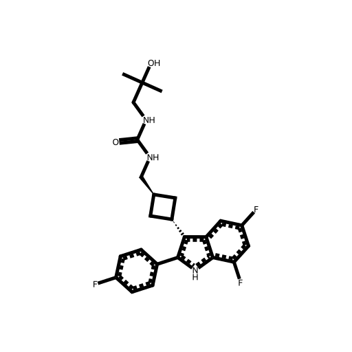 CC(C)(O)CNC(=O)NC[C@H]1C[C@H](c2c(-c3ccc(F)cc3)[nH]c3c(F)cc(F)cc32)C1